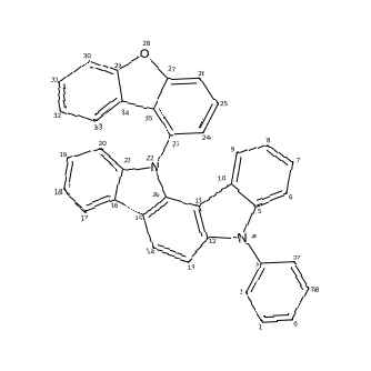 c1ccc(-n2c3ccccc3c3c2ccc2c4ccccc4n(-c4cccc5oc6ccccc6c45)c23)cc1